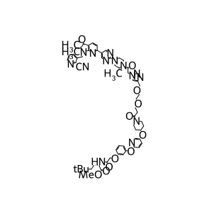 COC(=O)[C@H](CCC(C)(C)C)NC(=O)COc1cccc(Oc2ccc(OC3CCN(C(=O)CCOCCOCc4cn(CC(=O)N5CCN(c6ncc(-c7ccc8c(n7)N(Cc7cccnc7C#N)C(C)(C)C8=O)cn6)C[C@H]5C)nn4)CC3)cn2)c1